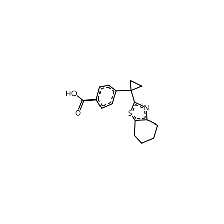 O=C(O)c1ccc(C2(c3nc4c(s3)CCCC4)CC2)cc1